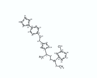 CCN(CCC(C)c1nc(COc2ccc(-n3cnnn3)cc2)cs1)c1nccc(Cl)n1